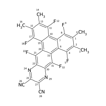 Cc1c(C)c(F)c2c(c1F)c1c(F)c(C)c(C)c(F)c1c1c(F)c3nc(C#N)c(C#N)nc3c(F)c21